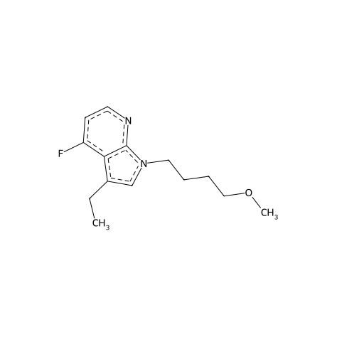 CCc1cn(CCCCOC)c2nccc(F)c12